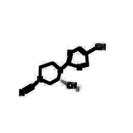 C[C@@H]1CN(C#N)CCN1c1ncc(O)cn1